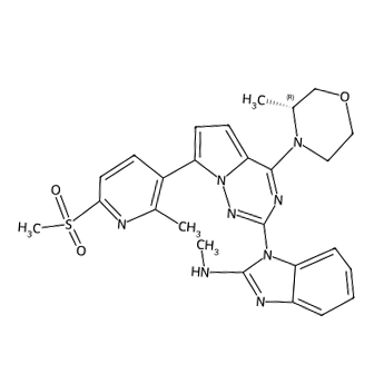 CNc1nc2ccccc2n1-c1nc(N2CCOC[C@H]2C)c2ccc(-c3ccc(S(C)(=O)=O)nc3C)n2n1